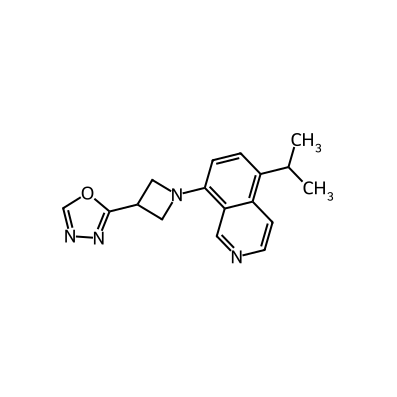 CC(C)c1ccc(N2CC(c3nnco3)C2)c2cnccc12